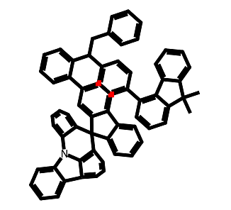 CC1(C)c2ccccc2-c2c(-c3ccc(C(Cc4ccccc4)c4ccccc4-c4ccc5c(c4)C4(c6ccccc6-5)c5ccccc5-n5c6ccccc6c6cccc4c65)cc3)cccc21